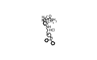 CC(C)(C(N)=O)c1nnc2ccc(NCCCN3CCC(OC(c4ccccc4)c4ccccc4)CC3)nn12.Cl